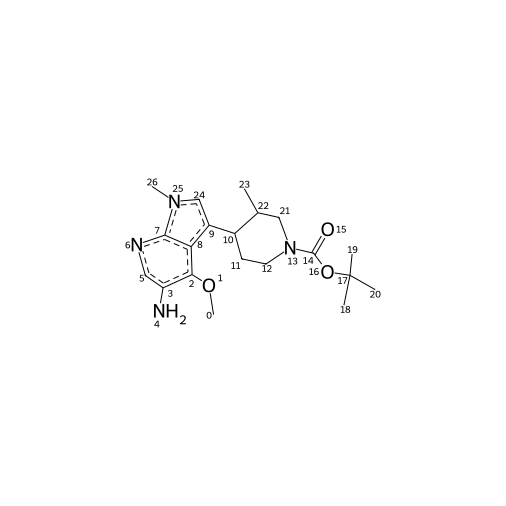 COc1c(N)cnc2c1c(C1CCN(C(=O)OC(C)(C)C)CC1C)cn2C